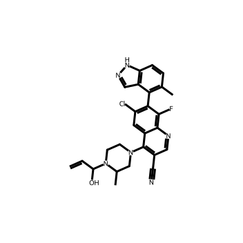 C=CC(O)N1CCN(c2c(C#N)cnc3c(F)c(-c4c(C)ccc5[nH]ncc45)c(Cl)cc23)CC1C